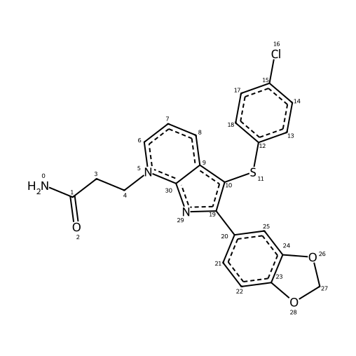 NC(=O)CCn1cccc2c(Sc3ccc(Cl)cc3)c(-c3ccc4c(c3)OCO4)nc1-2